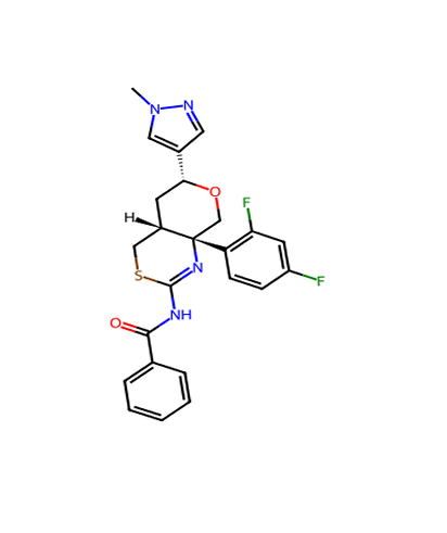 Cn1cc([C@H]2C[C@H]3CSC(NC(=O)c4ccccc4)=N[C@@]3(c3ccc(F)cc3F)CO2)cn1